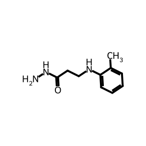 Cc1ccccc1NCCC(=O)NN